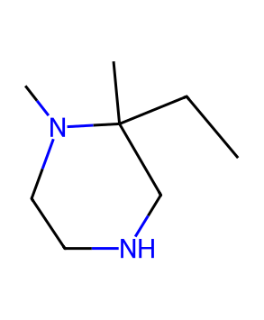 CCC1(C)CNCCN1C